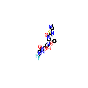 Cc1ccc(-c2nc(C)c(C(=O)N3CC[C@@H](C(=O)N4CCC(O)(Cn5cnc6c(ccn6CC(F)F)c5=O)CC4)[C@H](c4ccccc4)C3)s2)cn1